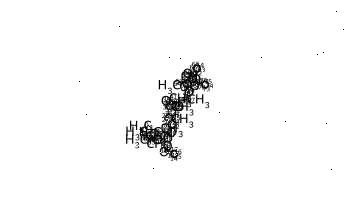 CCC1O[C@@H](O[C@@H]2C(COC(=O)c3ccccc3)O[C@@H](OC3CCC4(C)C(CCC5C4CCC4(C)C5CC(=O)C4[C@H](C)C(=O)CC[C@H](C)CO[C@@H]4OC(CC)[C@H](C)[C@H](OC(=O)c5ccccc5)C4OC(=O)c4ccccc4)C3)C(C)[C@H]2C)C(C)[C@@H](C)[C@@H]1C